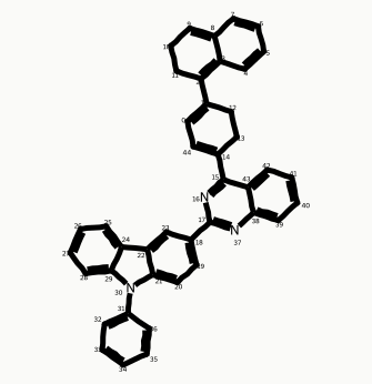 C1=C(C2=c3ccccc3=CCC2)CCC(c2nc(-c3ccc4c(c3)c3ccccc3n4-c3ccccc3)nc3ccccc23)=C1